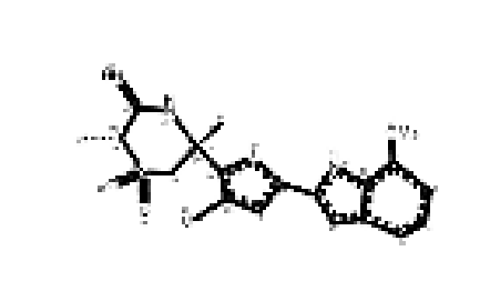 COc1cccc2cc(-c3cc(Cl)c([C@]4(C)CS(=O)(=O)[C@H](C)C(=N)N4)s3)[nH]c12